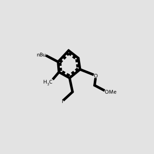 CCCCc1ccc(OCOC)c(CI)c1C